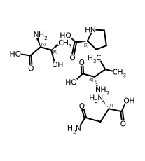 CC(C)[C@H](N)C(=O)O.C[C@@H](O)[C@H](N)C(=O)O.NC(=O)C[C@H](N)C(=O)O.O=C(O)[C@@H]1CCCN1